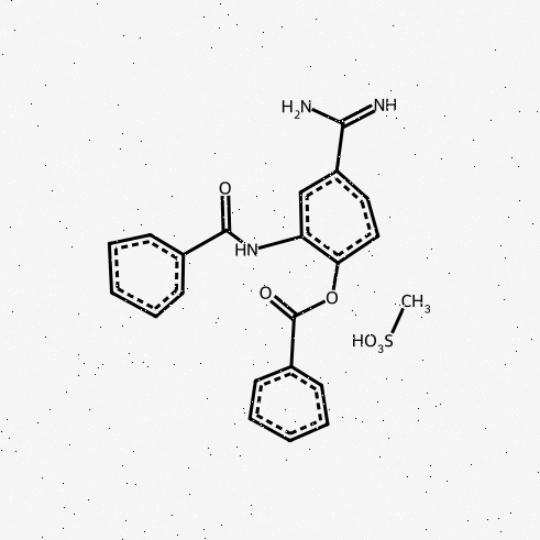 CS(=O)(=O)O.N=C(N)c1ccc(OC(=O)c2ccccc2)c(NC(=O)c2ccccc2)c1